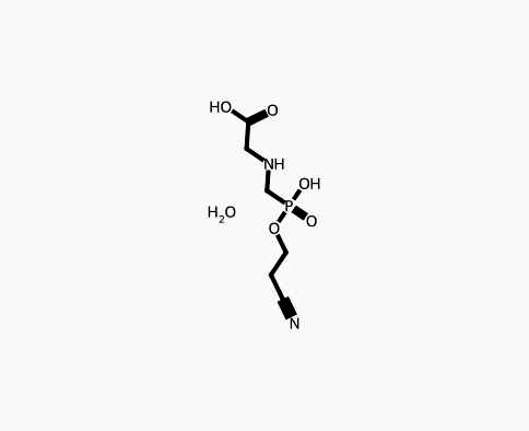 N#CCCOP(=O)(O)CNCC(=O)O.O